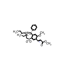 CCCC[C@]1(CC)CS(=O)(=O)c2cc(/C=C/C(=O)OC)c(OC)cc2[C@@H](c2ccccc2)N1